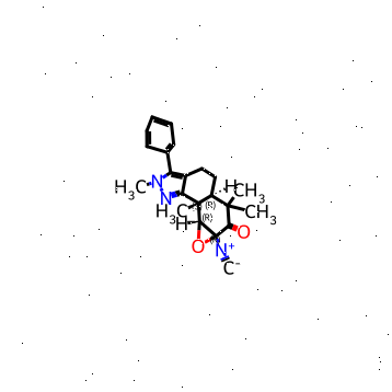 [C-]#[N+][C@@]12O[C@@H]1[C@]1(C)c3nn(C)c(-c4ccccc4)c3CC[C@H]1C(C)(C)C2=O